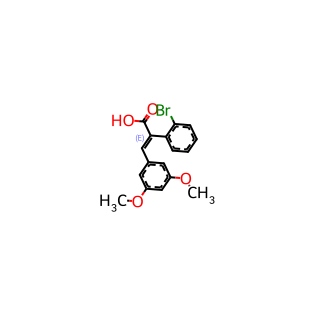 COc1cc(/C=C(/C(=O)O)c2ccccc2Br)cc(OC)c1